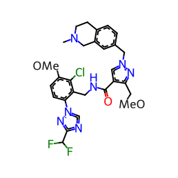 COCc1nn(Cc2ccc3c(c2)CN(C)CC3)cc1C(=O)NCc1c(-n2cnc(C(F)F)n2)ccc(OC)c1Cl